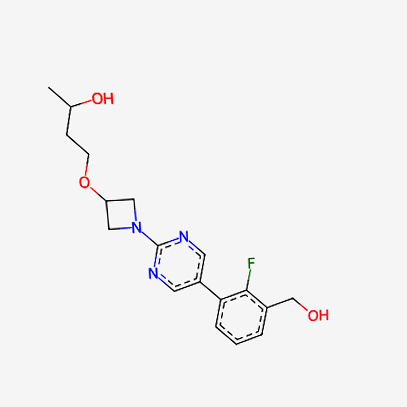 CC(O)CCOC1CN(c2ncc(-c3cccc(CO)c3F)cn2)C1